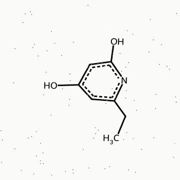 CCc1cc(O)cc(O)n1